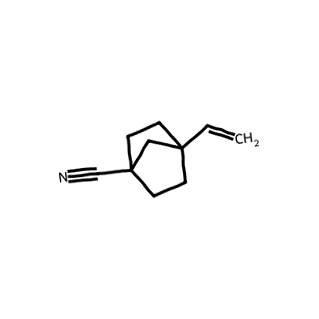 C=CC12CCC(C#N)(CC1)C2